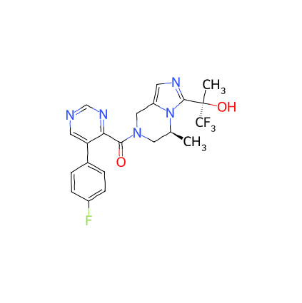 C[C@H]1CN(C(=O)c2ncncc2-c2ccc(F)cc2)Cc2cnc([C@@](C)(O)C(F)(F)F)n21